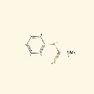 CSC(=S)Sc1c[c]ccc1